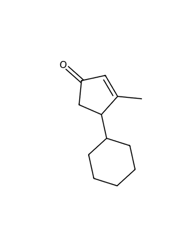 CC1=CC(=O)CC1C1CCCCC1